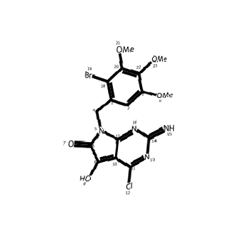 COc1cc(CN2C(=O)C(O)=C3C(Cl)=NC(=N)N=C32)c(Br)c(OC)c1OC